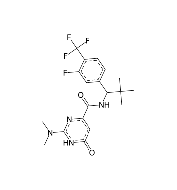 CN(C)c1nc(C(=O)NC(c2ccc(C(F)(F)F)c(F)c2)C(C)(C)C)cc(=O)[nH]1